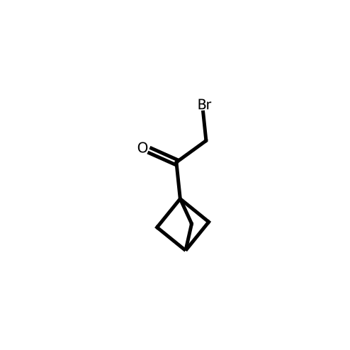 O=C(CBr)C12CC(C1)C2